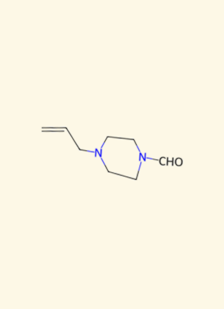 C=CCN1CCN(C=O)CC1